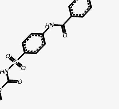 COC(=O)NS(=O)(=O)c1ccc(NC(=O)c2ccc(OC)cc2)cc1